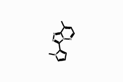 Cc1ccnn2c(-c3cccn3C)nnc12